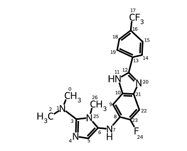 CN(C)c1ncc(Nc2cc3[nH]c(-c4ccc(C(F)(F)F)cc4)nc3cc2F)n1C